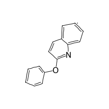 [c]1ccc2nc(Oc3ccccc3)ccc2c1